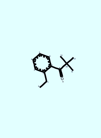 C[CH]c1ccccc1C(=O)C(C)(C)C